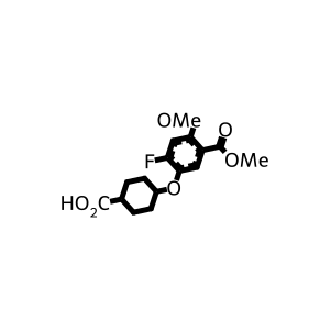 COC(=O)c1cc(OC2CCC(C(=O)O)CC2)c(F)cc1OC